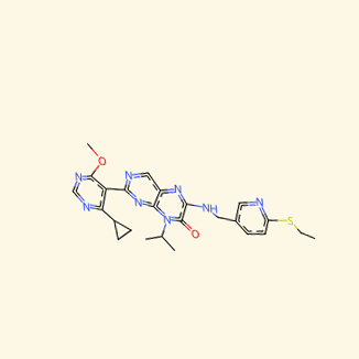 CCSc1ccc(CNc2nc3cnc(-c4c(OC)ncnc4C4CC4)nc3n(C(C)C)c2=O)cn1